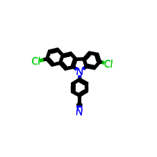 N#Cc1ccc(-n2c3cc(Cl)ccc3c3cc4ccc(Cl)cc4cc32)cc1